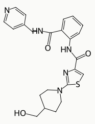 O=C(Nc1ccccc1C(=O)NCc1ccncc1)c1csc(N2CCC(CO)CC2)n1